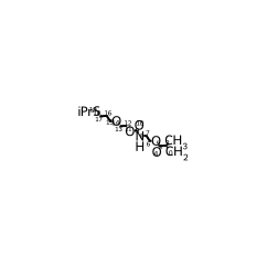 C=C(C)C(=O)OCCNC(=O)OCCOCCCSC(C)C